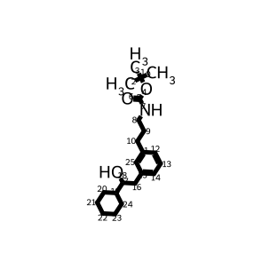 CC(C)(C)OC(=O)NCCCc1cccc(CC(O)C2CCCCC2)c1